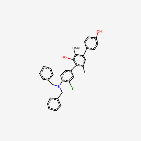 COc1c(-c2ccc(O)cc2)cc(C)c(-c2ccc(N(Cc3ccccc3)Cc3ccccc3)c(F)c2)c1O